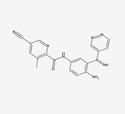 Cc1cc(C#N)cnc1C(=O)Nc1ccc(N)c(C(=N)c2ccnnc2)c1